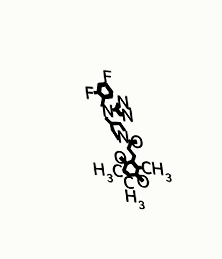 CC1=C(C)C(=O)C(CCC(=O)N2CCC(CN(Cc3ccc(F)cc3F)c3cncnc3)CC2)=C(C)C1=O